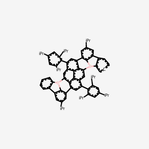 CC(C)c1cc2c3c(c1)-c1cc(-c4c(C(C)C)cc(C(C)C)cc4C(C)C)c4cc5c6c(cc(-c7c(C(C)C)cc(C(C)C)cc7C(C)C)c7cc(c1c4c76)B3c1ccccc1-2)-c1cc(C(C)C)cc2c1B5c1ccccc1-2